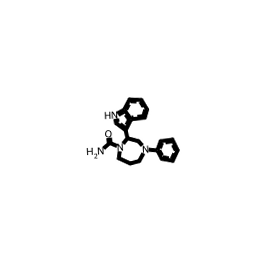 NC(=O)N1CCCN(c2ccccc2)CC1c1c[nH]c2ccccc12